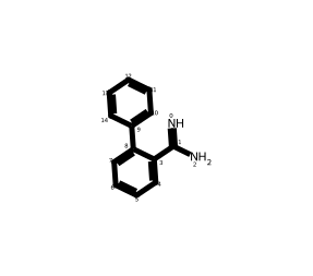 N=C(N)c1ccccc1-c1c[c]ccc1